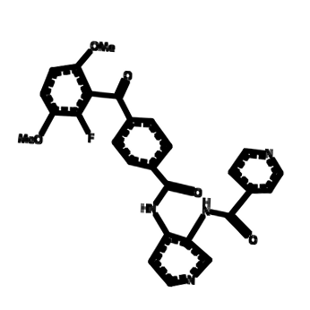 COc1ccc(OC)c(C(=O)c2ccc(C(=O)Nc3ccncc3NC(=O)c3ccncc3)cc2)c1F